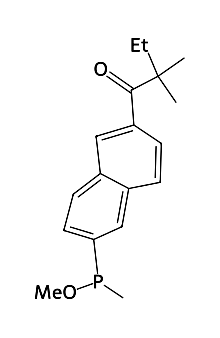 CCC(C)(C)C(=O)c1ccc2cc(P(C)OC)ccc2c1